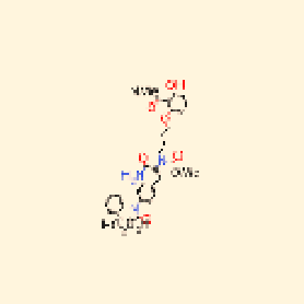 CNC(=O)c1c(O)cccc1OCCCCN(C(=O)OC)[C@@H](Cc1ccc(N(C(=O)C(=O)O)c2ccccc2C(=O)O)cc1)C(N)=O